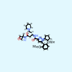 COc1cccc(OC)c1-c1cc(C(=O)N[C@@H](CCN2CCCCC2)CC(=O)NC2(C)COC2)nn1C1CCCC1